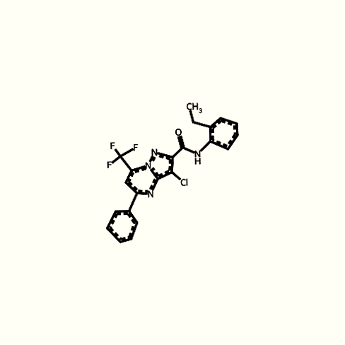 CCc1ccccc1NC(=O)c1nn2c(C(F)(F)F)cc(-c3ccccc3)nc2c1Cl